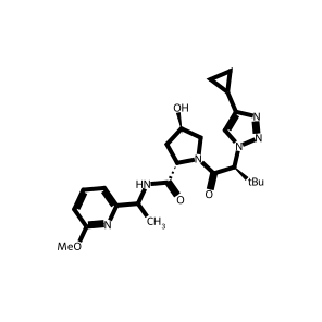 COc1cccc(C(C)NC(=O)[C@@H]2C[C@@H](O)CN2C(=O)[C@@H](n2cc(C3CC3)nn2)C(C)(C)C)n1